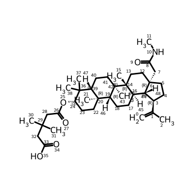 C=C(C)[C@@H]1CC[C@]2(CC(=O)NC)CC[C@]3(C)[C@H](CC[C@@H]4[C@@]5(C)CC[C@H](OC(=O)CC(C)(C)CC(=O)O)C(C)(C)[C@@H]5CC[C@]43C)[C@@H]12